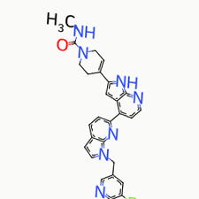 CNC(=O)N1CC=C(c2cc3c(-c4ccc5ccn(Cc6cncc(F)c6)c5n4)ccnc3[nH]2)CC1